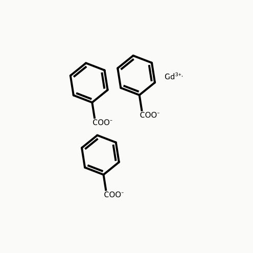 O=C([O-])c1ccccc1.O=C([O-])c1ccccc1.O=C([O-])c1ccccc1.[Gd+3]